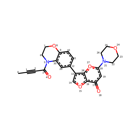 CC#CC(=O)N1CCOc2ccc(-c3coc4c(=O)cc(N5CCOCC5)oc34)cc21